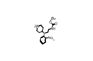 CC(C)(C)OC(=O)NCCN(c1ccccc1[N+](=O)[O-])C1CCNCC1